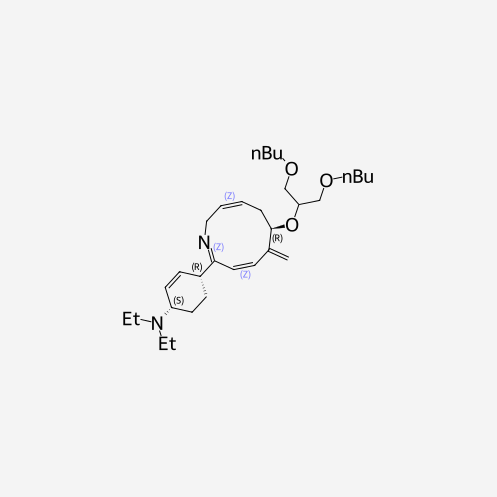 C=C1/C=C\C([C@H]2C=C[C@@H](N(CC)CC)CC2)=N/C/C=C\C[C@H]1OC(COCCCC)COCCCC